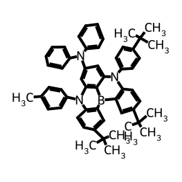 Cc1ccc(N2c3ccc(C(C)(C)C)cc3B3c4cc(C(C)(C)C)ccc4N(c4ccc(C(C)(C)C)cc4)c4cc(N(c5ccccc5)c5ccccc5)cc2c43)cc1